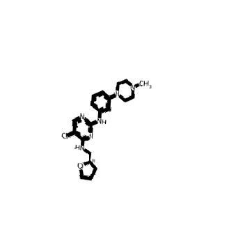 CN1CCN(c2cccc(Nc3ncc(Cl)c(NC[C@H]4CCCO4)n3)c2)CC1